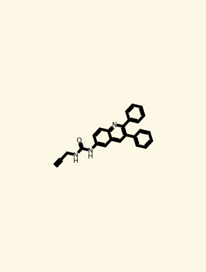 C#CCNC(=O)Nc1ccc2nc(-c3ccccc3)c(-c3ccccc3)cc2c1